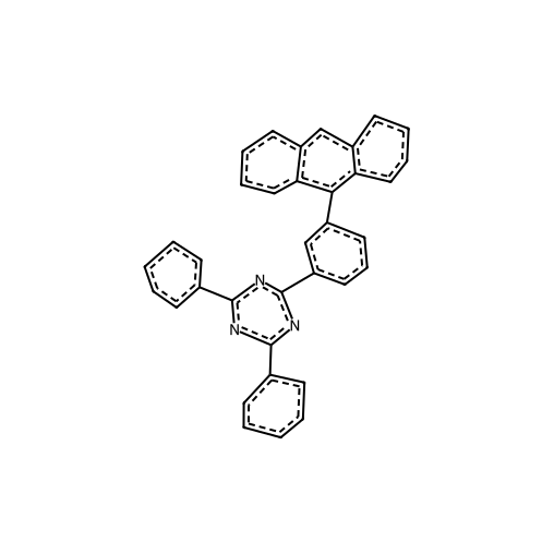 c1ccc(-c2nc(-c3ccccc3)nc(-c3cccc(-c4c5ccccc5cc5ccccc45)c3)n2)cc1